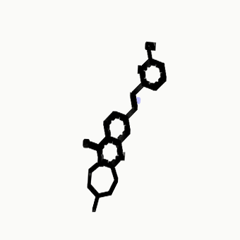 CC1CCc2nc3cc(/C=C/c4cccc(C#N)n4)ccc3c(=O)n2CC1